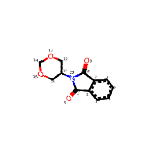 O=C1c2ccccc2C(=O)N1C1COCOC1